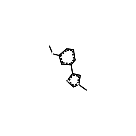 COc1cccc(-c2cn(C)cn2)c1